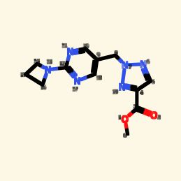 COC(=O)c1cnn(Cc2cnc(N3CCC3)nc2)n1